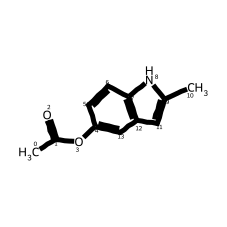 CC(=O)Oc1ccc2[nH]c(C)cc2c1